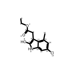 CCOC(=O)Cc1c(O)[nH]c2cc(Cl)cc(C)c12